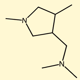 CC1CN(C)CC1CN(C)C